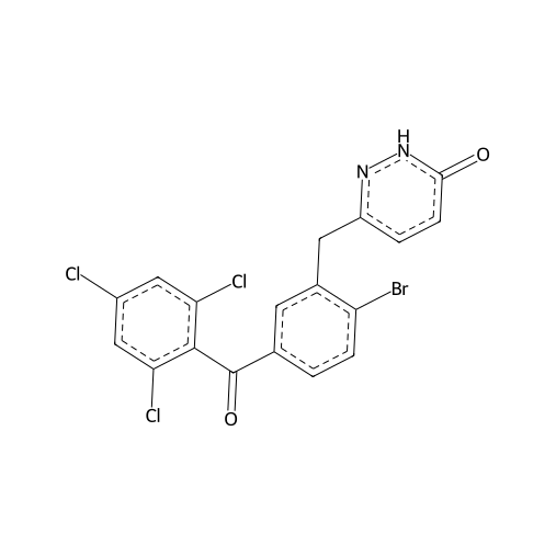 O=C(c1ccc(Br)c(Cc2ccc(=O)[nH]n2)c1)c1c(Cl)cc(Cl)cc1Cl